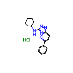 Cl.c1ccc(-c2ccc3nnc(NC4CCCCC4)n3n2)cc1